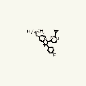 CN(C)Cc1ccn2c(-c3ccnc(C4CC4)n3)c(-c3ccc(F)cc3)nc2c1